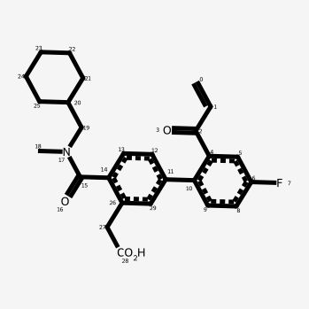 C=CC(=O)c1cc(F)ccc1-c1ccc(C(=O)N(C)CC2CCCCC2)c(CC(=O)O)c1